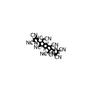 N#CC(C#N)=C1C(c2cc(C#N)cc(C#N)n2)=C(C#N)c2cc3c(cc21)C(C#N)=C(c1nc(C#N)cc(C#N)n1)C3=C(C#N)C#N